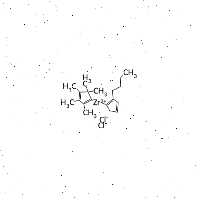 CCCCC1=[C]([Zr+2][C]2=C(C)C(C)=C(C)C2(C)C)CC=C1.[Cl-].[Cl-]